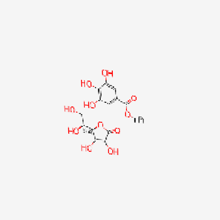 CCCOC(=O)c1cc(O)c(O)c(O)c1.O=C1O[C@H]([C@@H](O)CO)C(O)=C1O